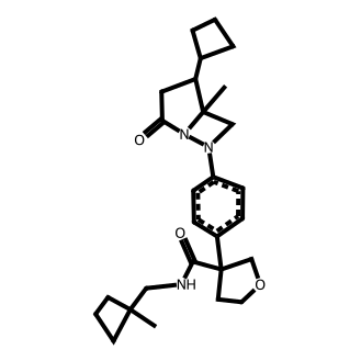 CC1(CNC(=O)C2(c3ccc(N4CC5(C)C(C6CCC6)CC(=O)N45)cc3)CCOC2)CCC1